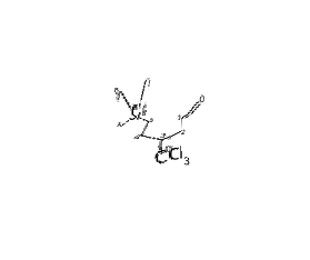 C=CC[C](CC[Si](C)(C)C)C(Cl)(Cl)Cl